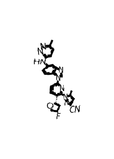 Cc1ccc(Nc2ccc3c(c2)ncn3-c2ccc([C@@H]3C[C@H](F)CO3)c(-n3nc(C#N)cc3C)n2)nn1